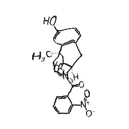 C[C@H]1[C@H]2Cc3ccc(O)cc3[C@]1(C)CCN2C(=O)c1ccccc1[N+](=O)[O-]